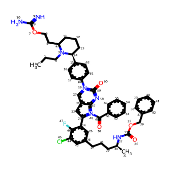 CCCN1C(CCOC(=N)N)CCC[C@H]1c1ccc(-n2cc3cc(-c4cc(CCC[C@H](C)NC(=O)OCc5ccccc5)cc(Cl)c4F)n(C(=O)c4ccccc4)c3nc2=O)cc1